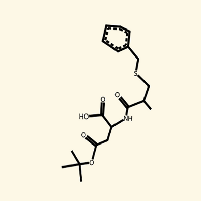 CC(CSCc1ccccc1)C(=O)NC(CC(=O)OC(C)(C)C)C(=O)O